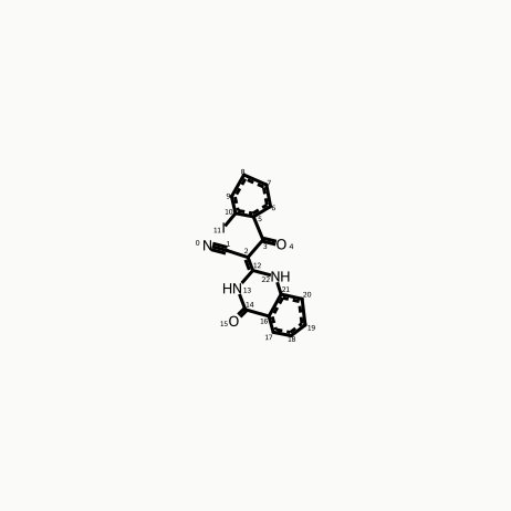 N#C/C(C(=O)c1ccccc1I)=C1\NC(=O)c2ccccc2N1